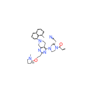 C=CC(=O)N1CCN(c2nc(CCO[C@H]3CCCN3C)nc3c2CCN(c2cccc4cccc(C)c24)C3)C[C@@H]1CC#N